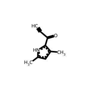 C#CC(=O)c1[nH]c(C)cc1C